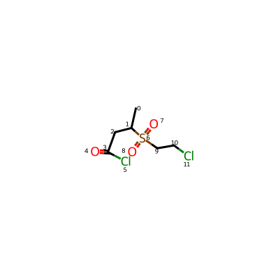 CC(CC(=O)Cl)S(=O)(=O)CCCl